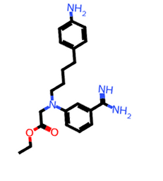 CCOC(=O)CN(CCCCc1ccc(N)cc1)c1cccc(C(=N)N)c1